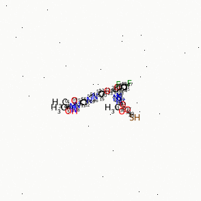 CC[C@@H]([C@H](C)O)n1ncn(-c2ccc(N3CCN(c4ccc(OC[C@@H]5CO[C@@](Cn6c[n+](C(C)OC(=O)OCCS)cn6)(c6ccc(F)cc6F)C5)cc4)CC3)cc2)c1=O